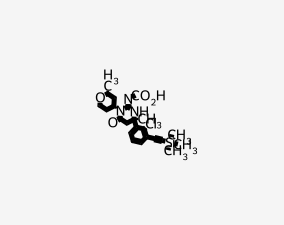 C[C@H]1C[C@@H](N2C(=O)C[C@@](C)(c3cccc(C#C[Si](C)(C)C)c3Cl)N/C2=N\C(=O)O)CCO1